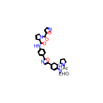 CC(=O)N1CCC[C@H]1C1CC(c2cnc(-c3ccc(NC(=O)C4C=CCN4C(=O)c4ccno4)cc3)o2)=CC=C1NC=O